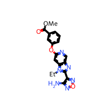 CCn1c(-c2nonc2N)nc2cnc(Oc3cccc(C(=O)OC)c3)cc21